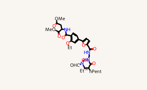 CCCCCC(C(=O)NCNC(=O)c1ccc(-c2ccc(C(=O)NC(CC(=O)OC)C(=O)OC)c(OCC)c2)o1)[C@@H](CC)N(O)C=O